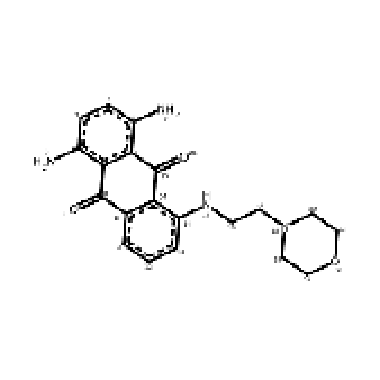 Nc1ccc(N)c2c1C(=O)c1cccc(NCCN3CCOCC3)c1C2=O